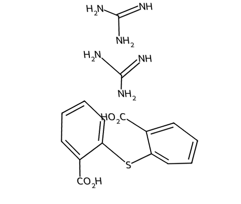 N=C(N)N.N=C(N)N.O=C(O)c1ccccc1Sc1ccccc1C(=O)O